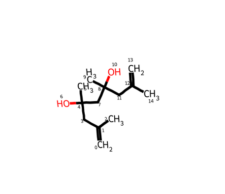 C=C(C)CC(C)(O)CC(C)(O)CC(=C)C